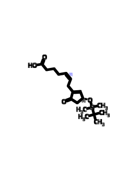 CC(C)(C)[Si](C)(C)O[C@H]1C=C(C/C=C\CCCC(=O)O)C(=O)C1